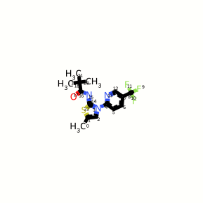 Cc1cn(-c2ccc(C(F)(F)F)cn2)c(=NC(=O)C(C)(C)C)s1